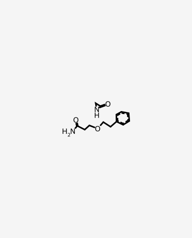 NC(=O)CCOCCc1ccccc1.O=C1CN1